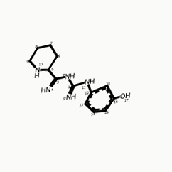 N=C(NC(=N)C1CCCCN1)Nc1cccc(O)c1